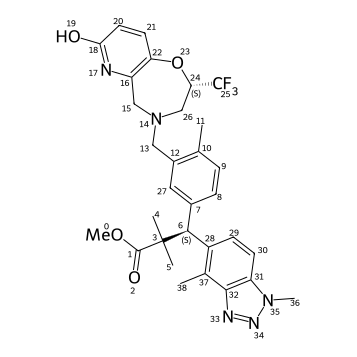 COC(=O)C(C)(C)[C@@H](c1ccc(C)c(CN2Cc3nc(O)ccc3O[C@H](C(F)(F)F)C2)c1)c1ccc2c(nnn2C)c1C